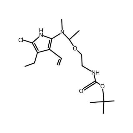 C=Cc1c(N(C)C(C)OCCNC(=O)OC(C)(C)C)[nH]c(Cl)c1CC